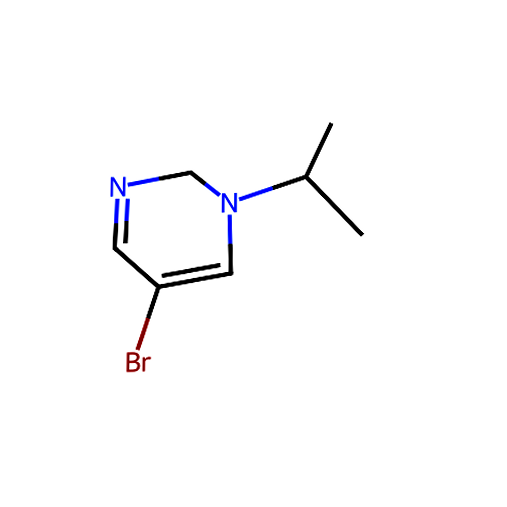 CC(C)N1C=C(Br)C=NC1